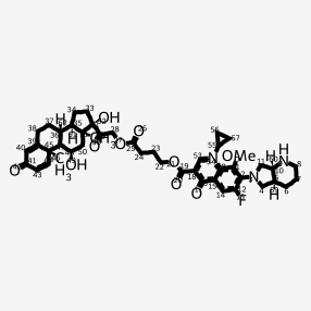 COc1c(N2C[C@@H]3CCCN[C@@H]3C2)c(F)cc2c(=O)c(C(=O)OCCCC(=O)OCC(=O)[C@]3(O)CC[C@@H]4[C@H]5CCC6=CC(=O)C=C[C@@]6(C)C5[C@H](O)C[C@]43C)cn(C3CC3)c12